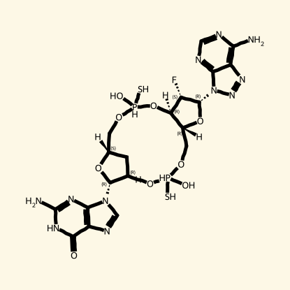 Nc1nc2c(ncn2[C@@H]2O[C@@H]3CO[PH](O)(S)O[C@H]4[C@H](F)[C@H](n5nnc6c(N)ncnc65)O[C@@H]4CO[PH](O)(S)O[C@@H]2C3)c(=O)[nH]1